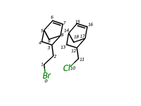 BrCCC1CC2C=CC1C2.ClCC1CC2C=CC1C2